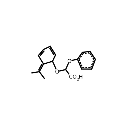 CC(C)=C1C=CC=CC1OC(Oc1ccccc1)C(=O)O